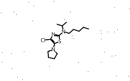 CCCCCN(c1nc(Cl)c(N2CCCC2)s1)C(C)C